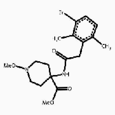 COC(=O)C1(NC(=O)Cc2c(C)ccc(Br)c2C)CCN(OC)CC1